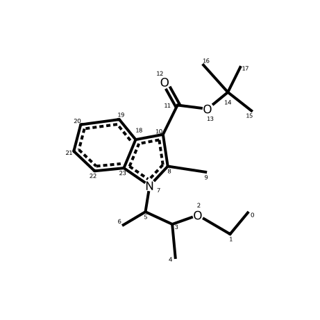 CCOC(C)C(C)n1c(C)c(C(=O)OC(C)(C)C)c2ccccc21